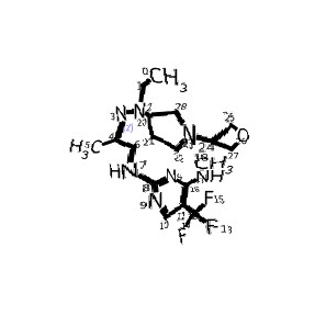 CCN(/N=C(/C)CNc1ncc(C(F)(F)F)c(NC)n1)C1CCN(C2COC2)C1